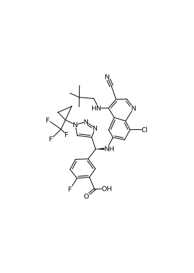 CC(C)(C)CNc1c(C#N)cnc2c(Cl)cc(N[C@@H](c3ccc(F)c(C(=O)O)c3)c3cn(C4(C(F)(F)F)CC4)nn3)cc12